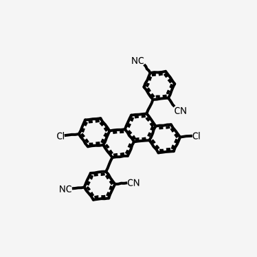 N#Cc1ccc(C#N)c(-c2cc3c4ccc(Cl)cc4c(-c4cc(C#N)ccc4C#N)cc3c3ccc(Cl)cc23)c1